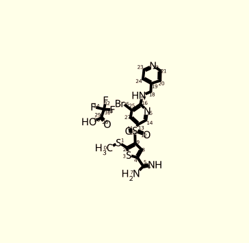 CSc1sc(C(=N)N)cc1S(=O)(=O)c1cnc(NCc2ccncc2)c(Br)c1.O=C(O)C(F)(F)F